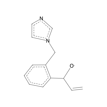 C=CC([O])c1ccccc1Cn1ccnc1